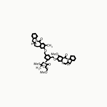 COCCC(=O)N(CC(C)(C)SC)c1cc(COc2cc3c(cc2C)C(=O)N2c4ccccc4C[C@H]2CC3)cc(COc2cc3c(cc2OC)C(=O)N2c4ccccc4C[C@H]2C=N3)c1